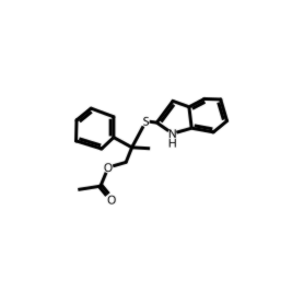 CC(=O)OCC(C)(Sc1cc2ccccc2[nH]1)c1ccccc1